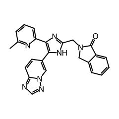 Cc1cccc(-c2nc(CN3Cc4ccccc4C3=O)[nH]c2-c2ccc3ncnn3c2)n1